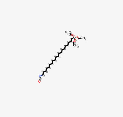 CCO[Si](CCCCCCCCCCCCCCCCCCCCN=C=O)(OCC)OCC